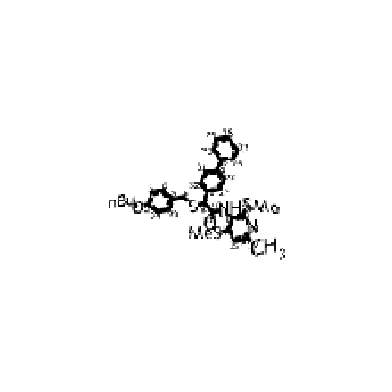 CCCCOc1ccc(CSC(C(=O)Nc2c(SC)cc(C)nc2SC)c2ccc(-c3ccccc3)cc2)cc1